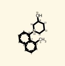 Cc1cccc2cccc(N3CCCC(O)C3)c12